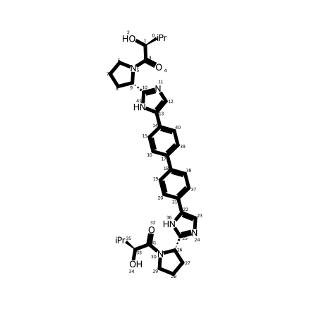 CC(C)[C@H](O)C(=O)N1CCC[C@H]1c1ncc(-c2ccc(-c3ccc(-c4cnc([C@@H]5CCCN5C(=O)[C@@H](O)C(C)C)[nH]4)cc3)cc2)[nH]1